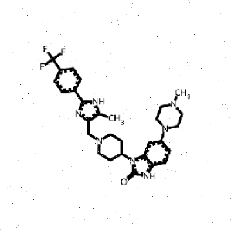 Cc1[nH]c(-c2ccc(C(F)(F)F)cc2)nc1CN1CCC(n2c(=O)[nH]c3ccc(N4CCN(C)CC4)cc32)CC1